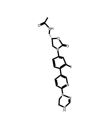 CC(=O)NC[C@H]1CN(c2ccc(-c3ccc(N4CCNC=N4)nc3)c(F)c2)C(=O)O1